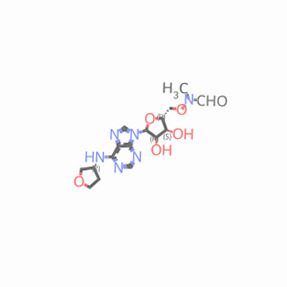 CN(C=O)OC[C@H]1OC(n2cnc3c(N[C@@H]4CCOC4)ncnc32)[C@H](O)[C@@H]1O